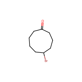 O=C1CCCCC(Br)CCC1